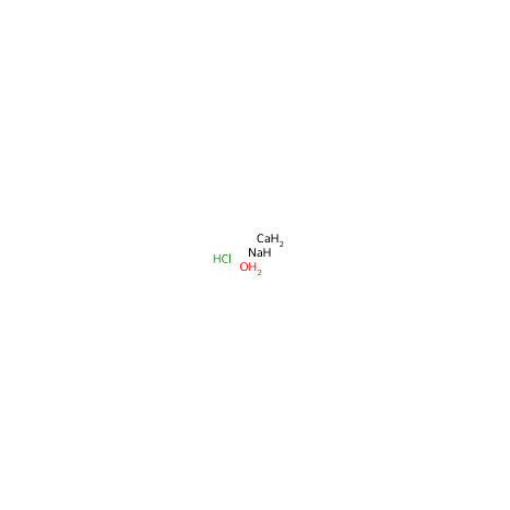 Cl.O.[CaH2].[NaH]